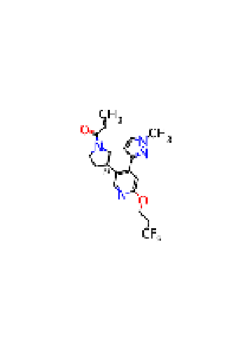 C=CC(=O)N1CC[C@H](c2cnc(OCCC(F)(F)F)cc2-c2ccn(C)n2)C1